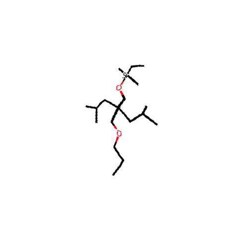 CCCOCC(CO[Si](C)(C)CC)(CC(C)C)CC(C)C